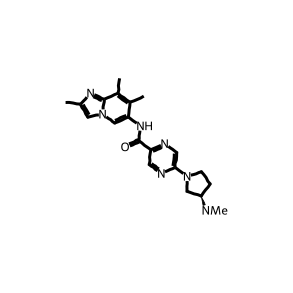 CN[C@@H]1CCN(c2cnc(C(=O)Nc3cn4cc(C)nc4c(C)c3C)cn2)C1